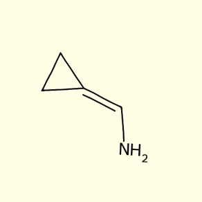 NC=C1CC1